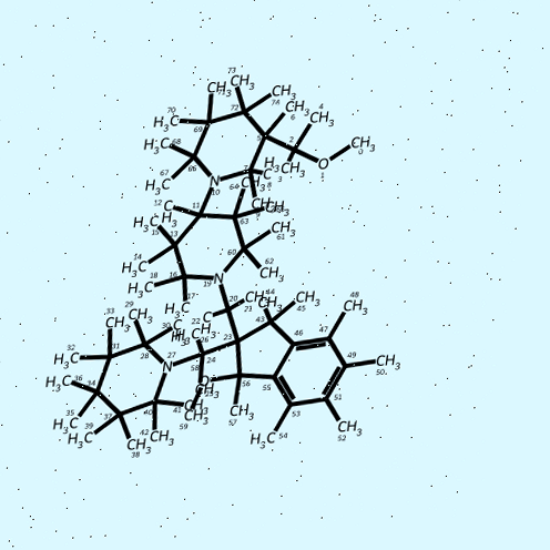 COC(C)(C)C1(C)C(C)(C)N(C2(C)C(C)(C)C(C)(C)N(C(C)(C)C3(C(C)(C)N4C(C)(C)C(C)(C)C(C)(C)C(C)(C)C4(C)C)C(C)(C)c4c(C)c(C)c(C)c(C)c4C3(C)OC)C(C)(C)C2(C)C)C(C)(C)C(C)(C)C1(C)C